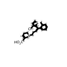 Cc1ccccc1C(=CCCN1CCC=C(C(=O)O)C1)c1sccc1Cl